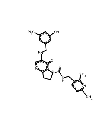 Cc1cc(C#N)cc(CNc2cnc3n(c2=O)[C@H](C(=O)NCc2ccc(N)nc2C)CC3)c1